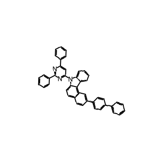 c1ccc(-c2ccc(-c3ccc4ccc5c(c4c3)c3ccccc3n5-c3cc(-c4ccccc4)nc(-c4ccccc4)n3)cc2)cc1